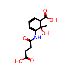 CC1(O)C(NC(=O)CCC(=O)O)=CC=CC1C(=O)O